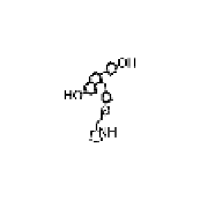 Oc1ccc(-c2ccc3cc(O)ccc3c2Cc2ccc(OCCCC3CCCCN3)cc2)cc1